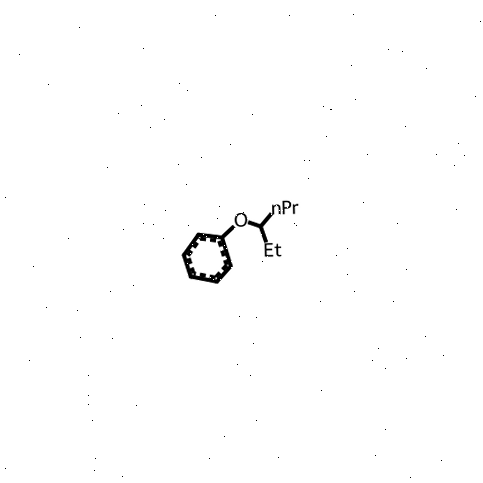 C[CH]CC(CC)Oc1ccccc1